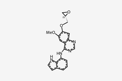 COc1cc2c(Nc3cccc4cc[nH]c34)ncnc2cc1OC[C@@H]1CO1